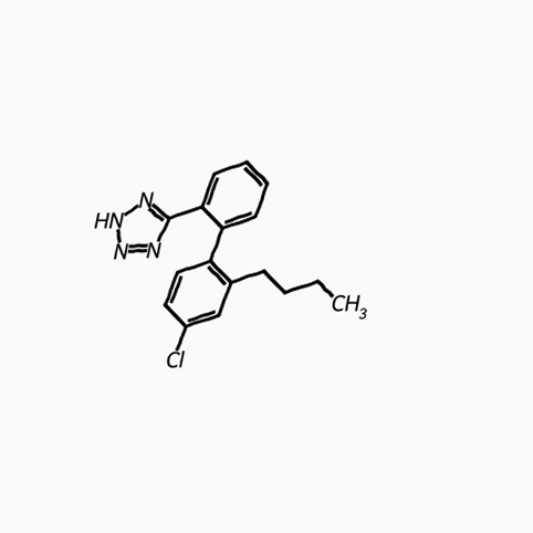 CCCCc1cc(Cl)ccc1-c1ccccc1-c1nn[nH]n1